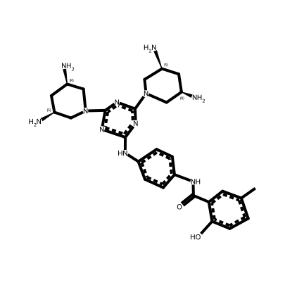 Cc1ccc(O)c(C(=O)Nc2ccc(Nc3nc(N4C[C@H](N)C[C@H](N)C4)nc(N4C[C@H](N)C[C@H](N)C4)n3)cc2)c1